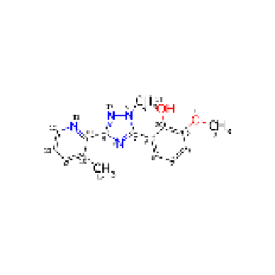 COc1cccc(-c2nc(-c3ncccc3C)nn2C)c1O